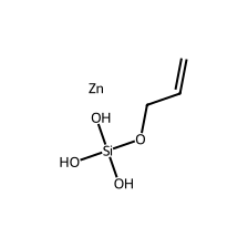 C=CCO[Si](O)(O)O.[Zn]